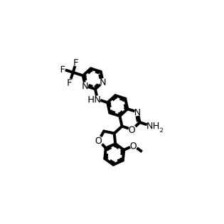 COc1cccc2c1C(C1OC(N)=Nc3ccc(Nc4nccc(C(F)(F)F)n4)cc31)CO2